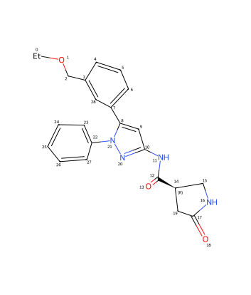 CCOCc1cccc(-c2cc(NC(=O)[C@H]3CNC(=O)C3)nn2-c2ccccc2)c1